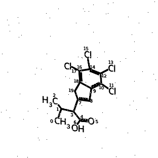 CC(C)C(C(=O)O)C1=Cc2c(Cl)c(Cl)c(Cl)c(Cl)c2C1